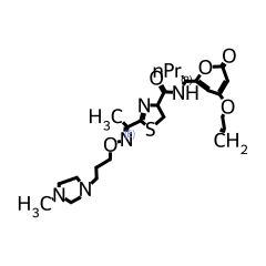 C=CCOc1cc([C@@H](CCC)NC(=O)C2CSC(/C(C)=N/OCCCN3CCN(C)CC3)=N2)oc(=O)c1